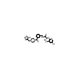 CC[C@@H](Oc1ncc(Cl)cc1Cl)C(=O)NCc1cccc(C(=O)N2CCN(Cc3nnn[nH]3)CC2)c1